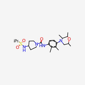 Cc1c(NC(=O)N2CCC(NS(=O)(=O)C(C)C)CC2)ccc(N2CC(C)OC(C)C2C)c1C